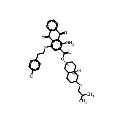 CC(C)COC1CCC2C[C@H](OC(=O)c3cc(SCCc4ccc(Cl)cc4)c4c(c3N)C(=O)c3ccccc3C4=O)CC[C@@H]2C1